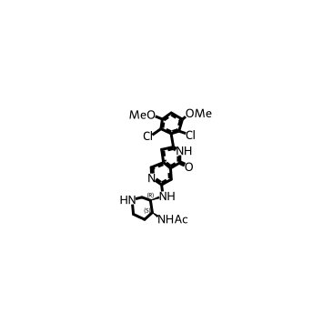 COc1cc(OC)c(Cl)c(-c2cc3cnc(N[C@@H]4CNCC[C@@H]4NC(C)=O)cc3c(=O)[nH]2)c1Cl